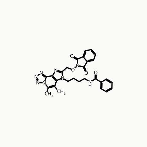 Cc1c(C)n2nnnc2c2nc(CON3C(=O)c4ccccc4C3=O)n(CCCCNC(=O)c3ccccc3)c12